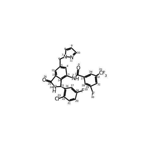 O=C(Nc1cc(Cn2cccn2)cc2c1[C@@H](c1cc(F)ccc1Cl)NC2=O)c1cc(F)cc(C(F)(F)F)c1